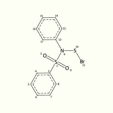 O=S(=O)(c1ccccc1)N(SBr)c1ccccc1